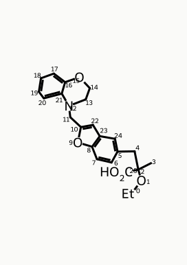 CCOC(C)(Cc1ccc2oc(CN3CCOc4ccccc43)cc2c1)C(=O)O